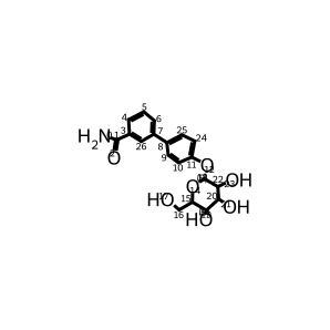 NC(=O)c1cccc(-c2ccc(O[C@H]3OC(CO)[C@@H](O)C(O)C3O)cc2)c1